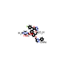 COc1ccccc1-c1nccc(COc2ccc(O)cc2CC(Oc2ncnc3oc(-c4ccc(F)cc4)c(-c4ccc(O[C@H](CO)CN5CCN(C)CC5)cc4)c23)C(=O)O)n1